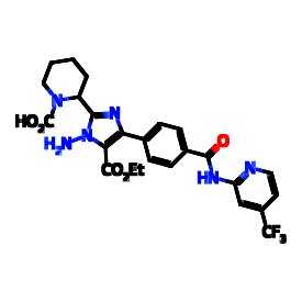 CCOC(=O)c1c(-c2ccc(C(=O)Nc3cc(C(F)(F)F)ccn3)cc2)nc(C2CCCCN2C(=O)O)n1N